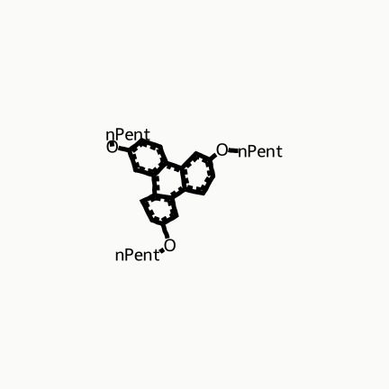 CCCCCOc1ccc2c(c1)c1ccc(OCCCCC)cc1c1ccc(OCCCCC)cc21